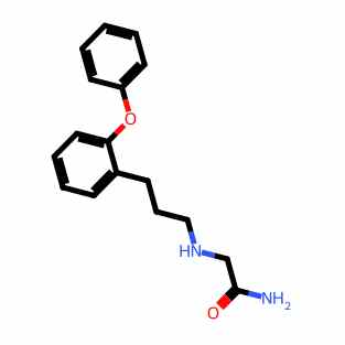 NC(=O)CNCCCc1ccccc1Oc1ccccc1